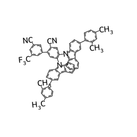 Cc1ccc(-c2ccc3c(c2)c2ccccc2n3-c2cc(C#N)c(-c3cc(C#N)cc(C(F)(F)F)c3)cc2-n2c3ccccc3c3cc(-c4ccc(C)cc4C)ccc32)c(C)c1